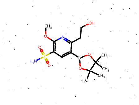 COc1nc(CCO)c(B2OC(C)(C)C(C)(C)O2)cc1S(N)(=O)=O